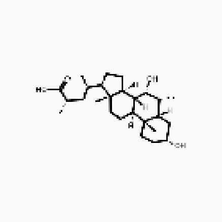 C[C@H]1[C@@H](O)[C@@H]2[C@H](CC[C@]3(C)[C@@H]([C@H](C)C[C@H](C)C(=O)O)CC[C@@H]23)[C@@]2(C)CC[C@@H](O)C[C@@H]12